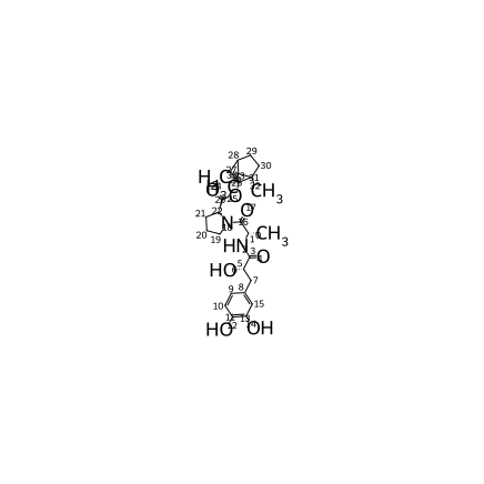 C[C@H](NC(=O)[C@@H](O)Cc1ccc(O)c(O)c1)C(=O)N1CCC[C@H]1C(=O)OC1CC2CCC1(C)C2(C)C